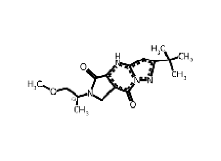 COC[C@H](C)N1Cc2c([nH]c3cc(C(C)(C)C)nn3c2=O)C1=O